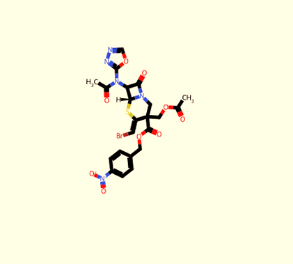 CC(=O)OCC1(C(=O)OCc2ccc([N+](=O)[O-])cc2)CN2C(=O)C(N(C(C)=O)c3nnco3)[C@H]2SC1=CBr